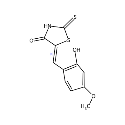 COc1ccc(/C=C2\SC(=S)NC2=O)c(O)c1